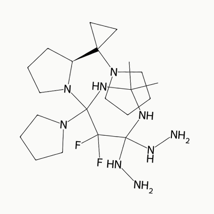 CC1(C)NC(NN)(NN)C(F)(F)C(N2CCCC2)(N2CCC[C@H]2C2(N3CCCC3)CC2)N1